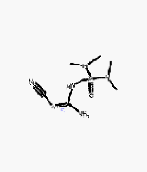 CN(C)P(=O)(N/C(N)=N\C#N)N(C)C